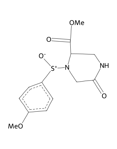 COC(=O)C1CNC(=O)CN1[S+]([O-])c1ccc(OC)cc1